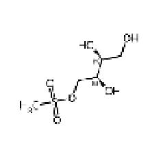 CS(=O)(=O)OC[C@H](O)[C@@H](O)CO